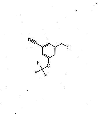 N#Cc1cc(CCl)cc(OC(F)(F)F)c1